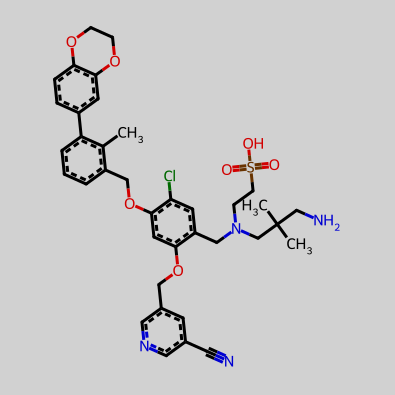 Cc1c(COc2cc(OCc3cncc(C#N)c3)c(CN(CCS(=O)(=O)O)CC(C)(C)CN)cc2Cl)cccc1-c1ccc2c(c1)OCCO2